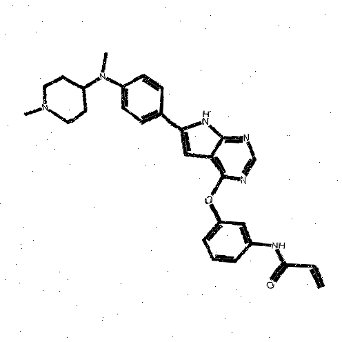 C=CC(=O)Nc1cccc(Oc2ncnc3[nH]c(-c4ccc(N(C)C5CCN(C)CC5)cc4)cc23)c1